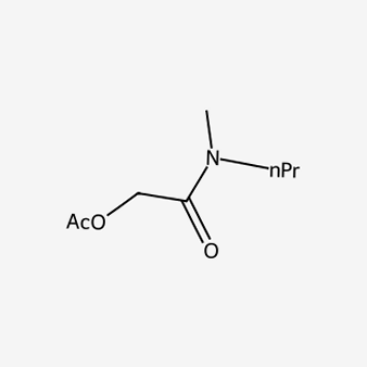 CCCN(C)C(=O)COC(C)=O